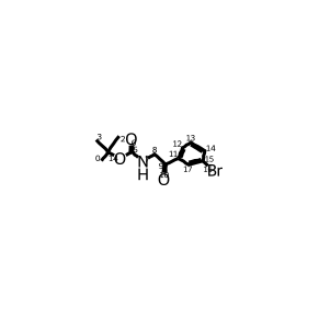 CC(C)(C)OC(=O)NCC(=O)c1cccc(Br)c1